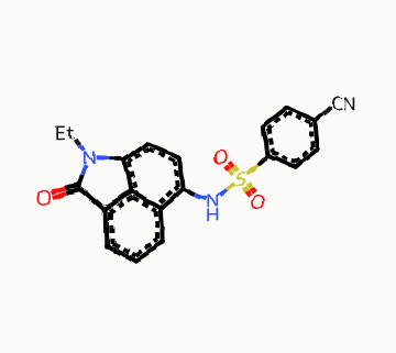 CCN1C(=O)c2cccc3c(NS(=O)(=O)c4ccc(C#N)cc4)ccc1c23